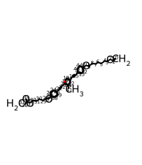 C=COCCCCCCCOc1ccc(C#Cc2ccc(C#Cc3ccc(OCCCCCOC(=O)C=C)cc3)c(C)c2)cc1